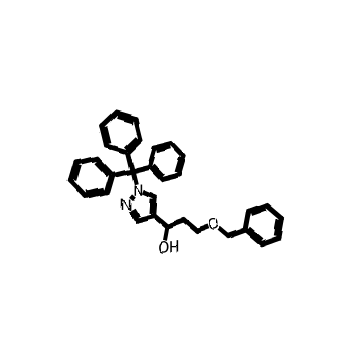 OC(CCOCc1ccccc1)c1cnn(C(c2ccccc2)(c2ccccc2)c2ccccc2)c1